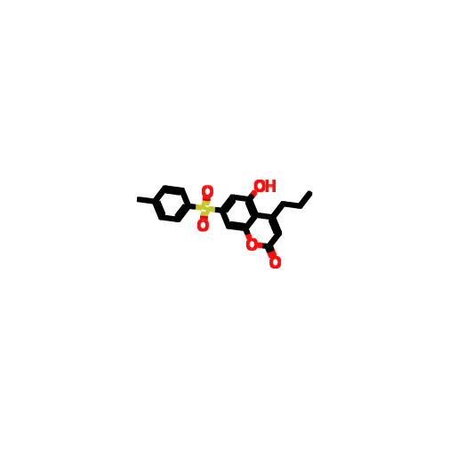 CCCc1cc(=O)oc2cc(S(=O)(=O)c3ccc(C)cc3)cc(O)c12